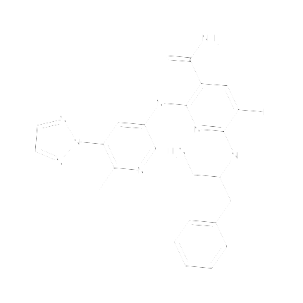 Cc1ncc(Nc2nc(NC(CN)Cc3ccccc3)c(F)cc2C(N)=O)cc1-n1nccn1